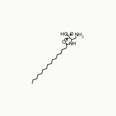 CCCCCCCCCCCCCCCC(=O)NC(CN)S(=O)(=O)O